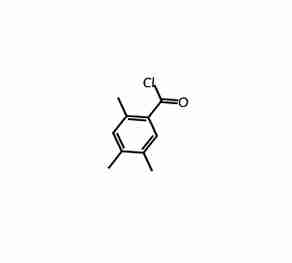 Cc1cc(C)c(C(=O)Cl)cc1C